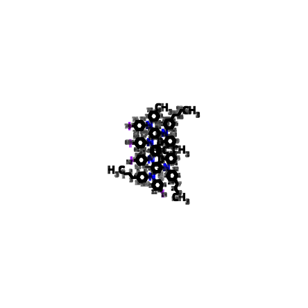 CCCCc1ccc(N(c2ccc(I)cc2)c2cc3c4c(c2)N(c2ccc(CCCC)cc2)c2cccc(C)c2B4c2cc4c(cc2N3c2ccc(I)cc2)N(c2ccc(I)cc2)c2cc(N(c3ccc(C)cc3)c3ccc(I)cc3)cc3c2B4c2cc(C)ccc2N3c2ccc(CCCC)cc2)cc1